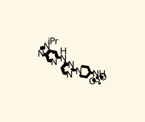 CC(C)n1cnc2cnc(Nc3ccnc(N4CCC(NS(C)(=O)=O)CC4)n3)cc21